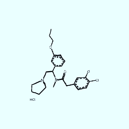 CCCOc1cccc(C(CN2CCCC2)N(C)C(=O)Cc2ccc(Cl)c(Cl)c2)c1.Cl